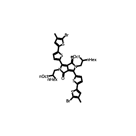 CCCCCCCCC(CCCCCC)CN1C(=O)C2=C(c3ccc(-c4cc(C)c(Br)s4)s3)N(CC(CCCCCC)CCCCCCCC)C(=O)C2=C1c1ccc(-c2cc(C)c(Br)s2)s1